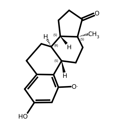 C[C@]12CC[C@@H]3c4c([O])cc(O)cc4CC[C@H]3[C@@H]1CCC2=O